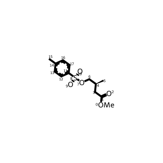 COC(=O)C[C@H](C)COS(=O)(=O)c1ccc(C)cc1